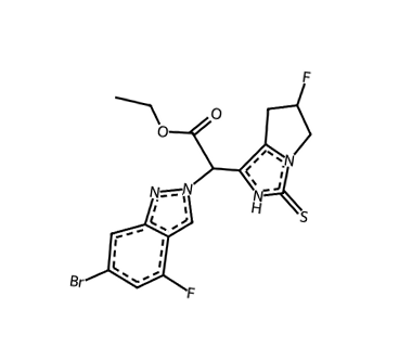 CCOC(=O)C(c1[nH]c(=S)n2c1CC(F)C2)n1cc2c(F)cc(Br)cc2n1